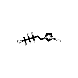 Cn1cc[n+](CCC(F)(F)C(F)(F)C(F)(F)C(F)(F)F)c1